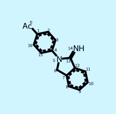 CC(=O)c1ccc(N2Cc3ccccc3C2=N)cc1